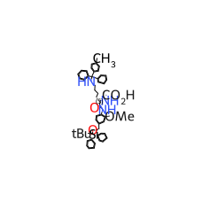 COc1cc(CO[Si](c2ccccc2)(c2ccccc2)C(C)(C)C)ccc1NC(=O)[C@H](CCCCNC(c1ccccc1)(c1ccccc1)c1ccc(C)cc1)NC(=O)O